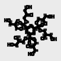 O=P(OCC(Cl)CO)(OCC(Cl)CO)c1nc(P(=O)(OCC(Cl)CO)OCC(Cl)CO)nc(P(=O)(OCC(Cl)CO)OCC(Cl)CO)n1